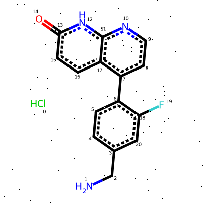 Cl.NCc1ccc(-c2ccnc3[nH]c(=O)ccc23)c(F)c1